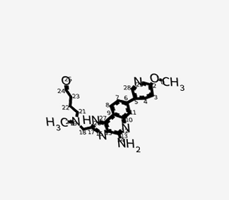 COc1ccc(-c2ccc3c(c2)nc(N)c2nc(CN(C)CCCC=O)[nH]c23)cn1